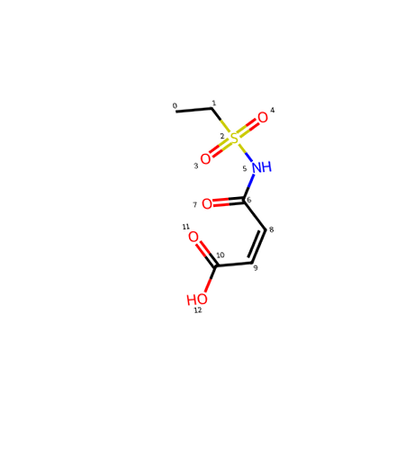 CCS(=O)(=O)NC(=O)/C=C\C(=O)O